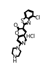 Cl.O=c1oc2cc(N3CCNCC3)ncc2cc1-c1nc2c(Cl)cccc2s1